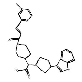 Cc1cccc(/C=C/C(=O)N2CCC(C(C(=O)O)N3CCC(c4c[nH]c5ccccc45)CC3)CC2)c1